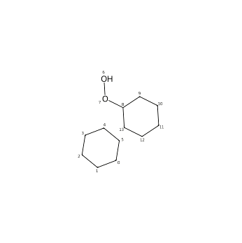 C1CCCCC1.OOC1CCCCC1